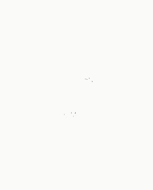 COc1cccc([C@@H]2C[C@H]2N)c1